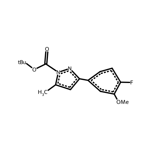 COc1cc(-c2cc(C)n(C(=O)OC(C)(C)C)n2)ccc1F